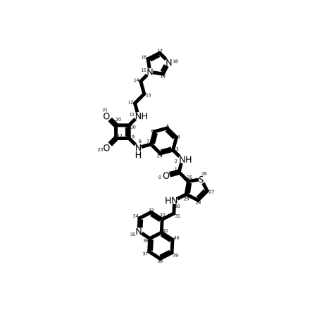 O=C(Nc1cccc(Nc2c(NCCCn3ccnc3)c(=O)c2=O)c1)c1sccc1NCc1ccnc2ccccc12